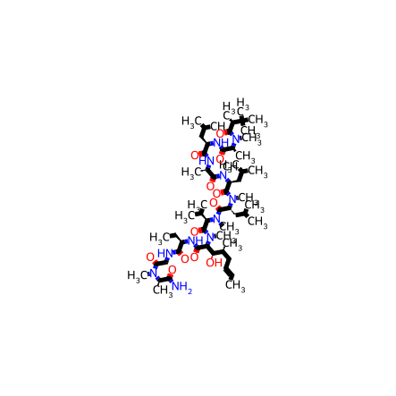 C/C=C/C[C@@H](C)[C@H](O)C(C(=O)N[C@H](CC)C(=O)NCC(=O)N(C)[C@@H](C)C(N)=O)N(C)C(=O)[C@@H](C(C)C)N(C)C(=O)[C@@H](CC(C)C)N(C)C(=O)[C@H](CC(C)C)N(C)C(=O)[C@H](C)NC(=O)[C@@H](CC(C)C)NC(=O)[C@H](C)N(C)C(=O)[C@@H](C)C(C)(C)C